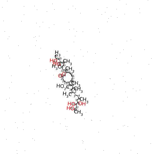 CC(=CC=CC(C)=C[C@@H](O)[C@H](O)C[C@@H](C)O)C=C(C)C=C(C(=O)O)[C@H]1CCCC(=O)O[C@@H]([C@@H](C)CC(C)=C[C@@H](C)[C@H](O)C[C@@H](C)O)CC=CC[C@@H]1C